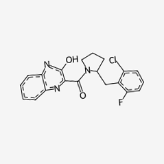 O=C(c1nc2ccccc2nc1O)N1CCCC1Cc1c(F)cccc1Cl